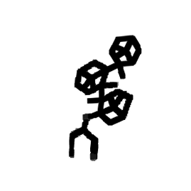 CCC(C=O)OC12CC(CCC1(C)C1(C)CCC3CC1(C1(C)CCC4CC1C4(C)C)C3(C)C)C2(C)C